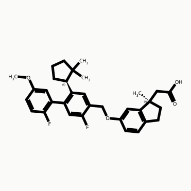 COc1ccc(F)c(-c2cc(F)c(COc3ccc4c(c3)[C@@](C)(CC(=O)O)CC4)cc2[C@H]2CCCC2(C)C)c1